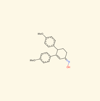 COc1ccc(C2=CC(=NO)CCC2c2ccc(OC)cc2)cc1